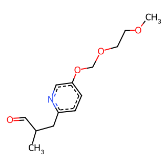 COCCOCOc1ccc(CC(C)C=O)nc1